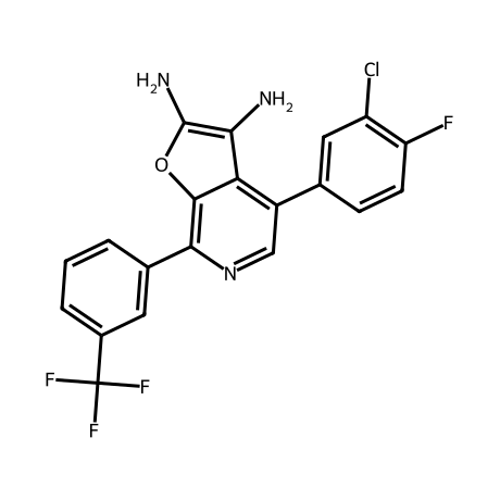 Nc1oc2c(-c3cccc(C(F)(F)F)c3)ncc(-c3ccc(F)c(Cl)c3)c2c1N